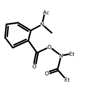 CCC(=O)N(CC)OC(=O)c1ccccc1N(C)C(C)=O